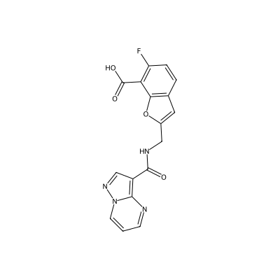 O=C(O)c1c(F)ccc2cc(CNC(=O)c3cnn4cccnc34)oc12